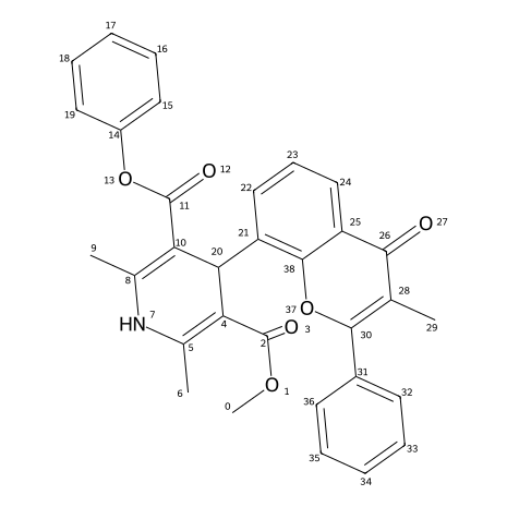 COC(=O)C1=C(C)NC(C)=C(C(=O)Oc2ccccc2)C1c1cccc2c(=O)c(C)c(-c3ccccc3)oc12